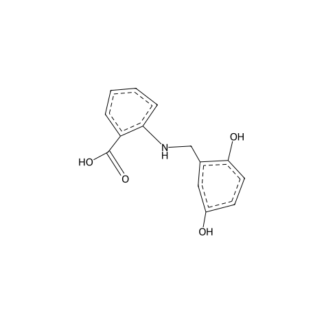 O=C(O)c1ccccc1NCc1cc(O)ccc1O